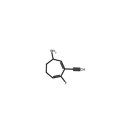 C#CC1=CC(N)CCC=C1F